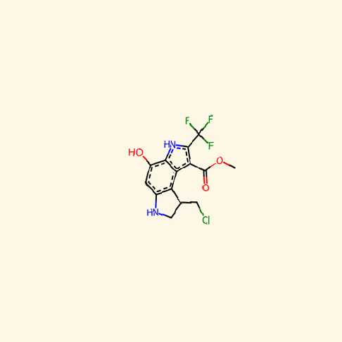 COC(=O)c1c(C(F)(F)F)[nH]c2c(O)cc3c(c12)C(CCl)CN3